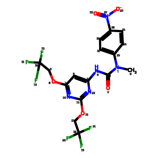 CN(C(=O)Nc1cc(OCC(F)(F)F)nc(OCC(F)(F)F)n1)c1ccc([N+](=O)[O-])cc1